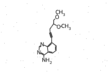 COCC(CC#Cc1cccc2c(N)ncnc12)OC